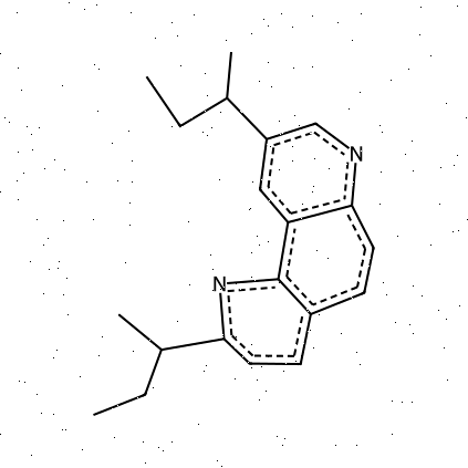 CCC(C)c1cnc2ccc3ccc(C(C)CC)nc3c2c1